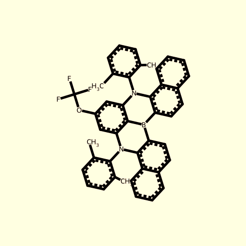 Cc1cccc(C)c1N1c2cc(OC(F)(F)F)cc3c2B(c2ccc4ccccc4c21)c1ccc2ccccc2c1N3c1c(C)cccc1C